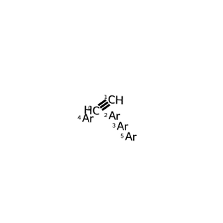 C#C.[Ar].[Ar].[Ar].[Ar]